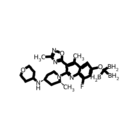 BC(B)(B)Oc1cc(F)c2nc(N3CC[C@@H](NC4CCOCC4)C[C@H]3C)c(-c3nc(C)no3)c(C)c2c1